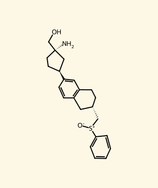 N[C@@]1(CO)CC[C@H](c2ccc3c(c2)CC[C@H](C[S+]([O-])c2ccccc2)C3)C1